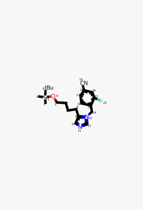 CC(C)(C)[Si](C)(C)OCCCCc1cncn1Cc1ccc(C#N)cc1F